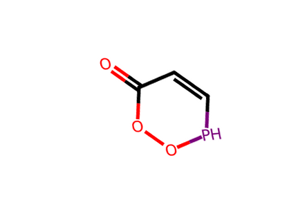 O=C1C=CPOO1